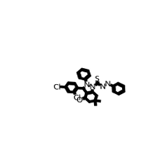 CC1(C)CC(=O)C2=C(C1)N(C(=S)N=Nc1ccccc1)N(c1ccccc1)C2c1ccc(Cl)cc1Cl